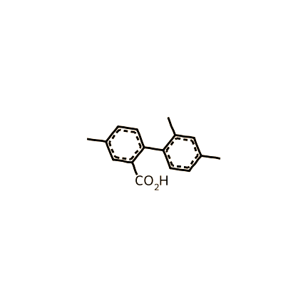 Cc1ccc(-c2ccc(C)cc2C(=O)O)c(C)c1